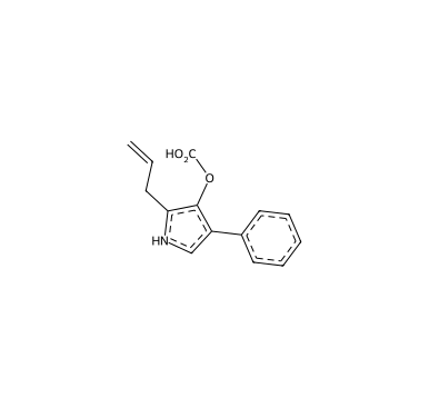 C=CCc1[nH]cc(-c2ccccc2)c1OC(=O)O